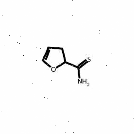 NC(=S)C1CC=CO1